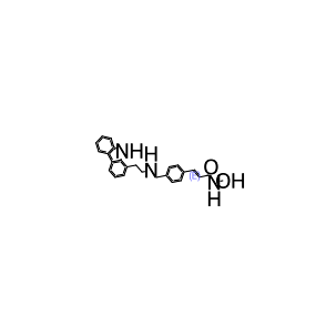 O=C(/C=C/c1ccc(CNCCc2cccc3c2[nH]c2ccccc23)cc1)NO